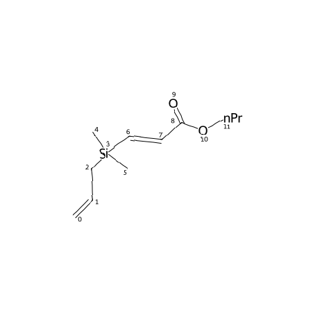 C=CC[Si](C)(C)C=CC(=O)OCCC